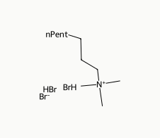 Br.Br.CCCCCCCC[N+](C)(C)C.[Br-]